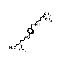 CCN(CC)CCCOc1ccc(CNCCCN(C)C)cc1